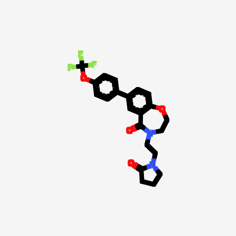 O=C1CCCN1CCN1CCOc2ccc(-c3ccc(OC(F)(F)F)cc3)cc2C1=O